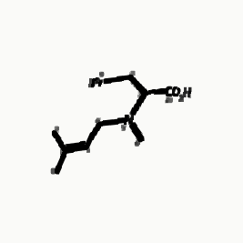 CC(C)=CCN(C)[C@@H](CC(C)C)C(=O)O